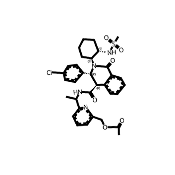 CC(=O)OCc1cccc(C(C)NC(=O)[C@@H]2c3ccccc3C(=O)N([C@H]3CCCC[C@@H]3NS(C)(=O)=O)[C@H]2c2ccc(Cl)cc2)n1